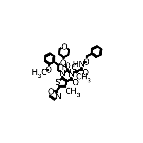 COc1ccccc1C(Cn1c(=O)n(C(C)(C)C(=O)NOCc2ccccc2)c(=O)c2c(C)c(-c3ncco3)sc21)OC1CCOCC1